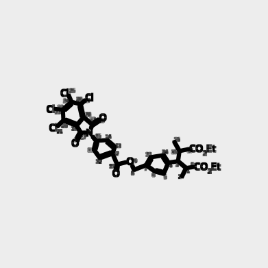 CCOC(=O)C(C)C(c1ccc(COC(=O)c2ccc(N3C(=O)c4c(Cl)c(Cl)c(Cl)c(Cl)c4C3=O)cc2)cc1)C(C)C(=O)OCC